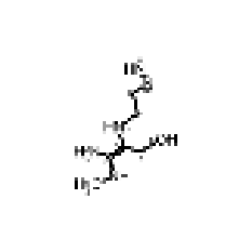 CN/C(N)=C(\CO)NCCN=N